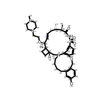 C[C@H]1C/C=C/[C@H](OCCN2CCN(C)CC2)[C@@H]2CC[C@H]2CN2CCCCc3cc(Cl)ccc3COc3ccc(cc32)S(=O)(=O)NC(=O)[C@@H]1C